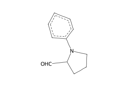 O=CC1CCCN1c1ccccc1